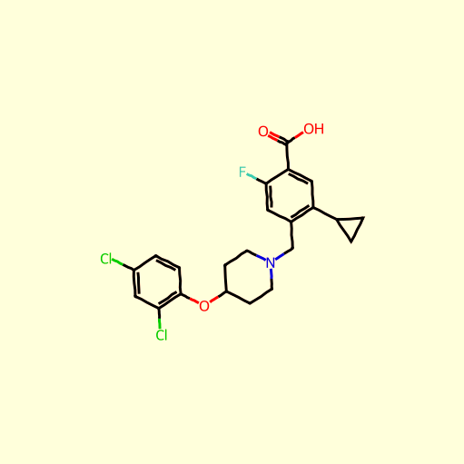 O=C(O)c1cc(C2CC2)c(CN2CCC(Oc3ccc(Cl)cc3Cl)CC2)cc1F